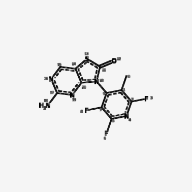 Cc1c(F)nc(F)c(F)c1-n1c(=O)sc2cnc(N)nc21